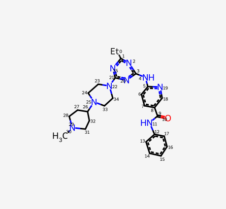 CCc1nc(Nc2ccc(C(=O)Nc3ccccc3)cn2)nc(N2CCN(C3CCN(C)CC3)CC2)n1